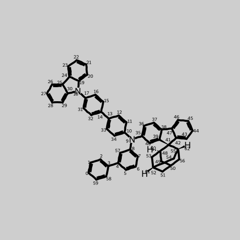 c1ccc(-c2cccc(N(c3ccc(-c4ccc(-n5c6ccccc6c6ccccc65)cc4)cc3)c3ccc4c(c3)[C@]3(c5ccccc5-4)[C@H]4CC5C[C@H](C4)C[C@H]3C5)c2)cc1